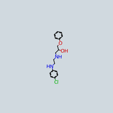 OC(CNCCNc1ccc(Cl)cc1)COc1ccccc1